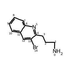 NCCCc1nc2ccccc2cc1Br